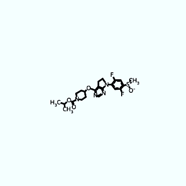 CC(C)OC(=O)N1CCC(Oc2ncnc3c2CCN3c2cc(F)c([S@@+](C)[O-])cc2F)CC1